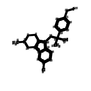 CN1CCc2c(c3cc(Cl)ccc3n2CC(C)(O)c2ccc(CF)cc2)C1